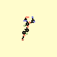 Cc1c(COc2cc(OCc3cncc(C#N)c3)c(CNC(C)(C)CO)cc2Cl)cccc1-c1cccc(OCCCBr)c1Cl